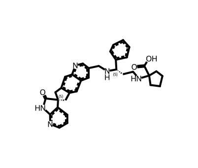 O=C(O)C1(NCC[C@H](NCc2cnc3cc4c(cc3c2)C[C@@]2(C4)C(=O)Nc3ncccc32)c2ccccc2)CCCC1